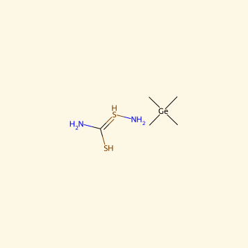 N[SH]=C(N)S.[CH3][Ge]([CH3])([CH3])[CH3]